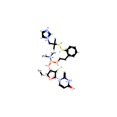 [2H]C[C@H]1O[C@@H](N2C=CC(=O)NC2=C)C(F)[C@H]1OP(OCCc1ccccc1SSC(C)(C)Cn1ccnc1)N(C(C)C)C(C)C